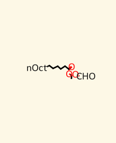 CCCCCCCCCCCCCC(=O)OC(C)OC=O